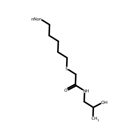 CCCCCCCCCCCCCCSCC(=O)NCC(C)O